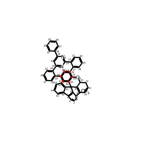 CC1CC=CC2=C1C1(C3=CC=CCC3Oc3c(-c4ccccc4-c4nc(-c5ccccc5)cc(-c5ccccc5-c5ccccc5)n4)cccc31)c1ccccc12